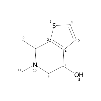 CC1c2sccc2C(O)CN1C